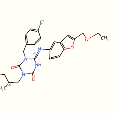 CCOCc1cc2cc(/N=c3\[nH]c(=O)n(C[C@H](C)CO)c(=O)n3Cc3ccc(Cl)cc3)ccc2o1